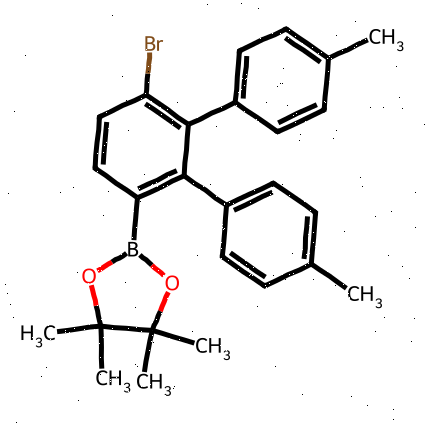 Cc1ccc(-c2c(Br)ccc(B3OC(C)(C)C(C)(C)O3)c2-c2ccc(C)cc2)cc1